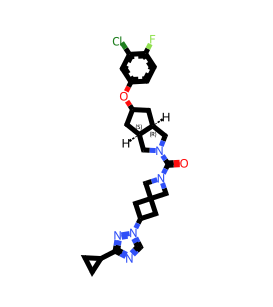 O=C(N1C[C@H]2CC(Oc3ccc(F)c(Cl)c3)C[C@H]2C1)N1CC2(CC(n3cnc(C4CC4)n3)C2)C1